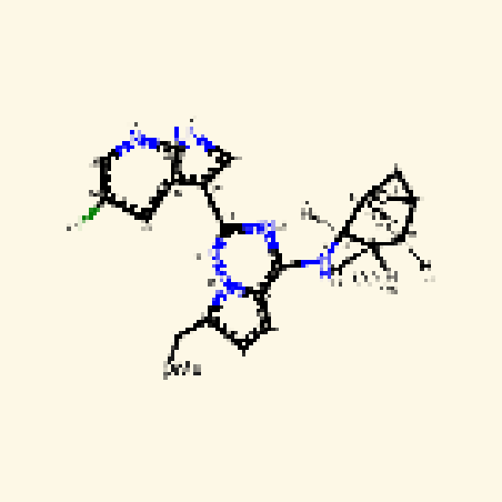 COCc1ccc2c(N[C@@H]3[C@@H](C(=O)O)[C@H]4CCC35CC4C5)nc(-c3c[nH]c4ncc(F)cc34)nn12